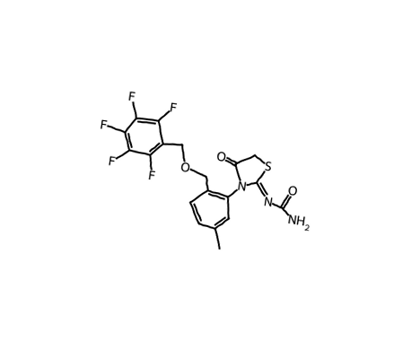 Cc1ccc(COCc2c(F)c(F)c(F)c(F)c2F)c(N2C(=O)CSC2=NC(N)=O)c1